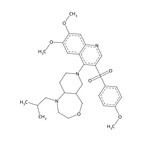 COc1ccc(S(=O)(=O)c2cnc3cc(OC)c(OC)cc3c2N2CCC3C(COCCN3CC(C)C)C2)cc1